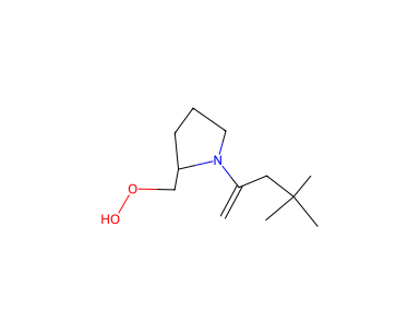 C=C(CC(C)(C)C)N1CCCC1COO